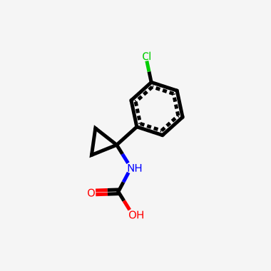 O=C(O)NC1(c2cccc(Cl)c2)CC1